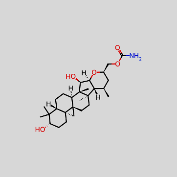 C[C@@H]1C[C@H](COC(N)=O)O[C@H]2[C@H]1[C@@]1(C)CC[C@@]34C[C@@]35CC[C@H](O)C(C)(C)[C@@H]5CC[C@H]4[C@]1(C)[C@H]2O